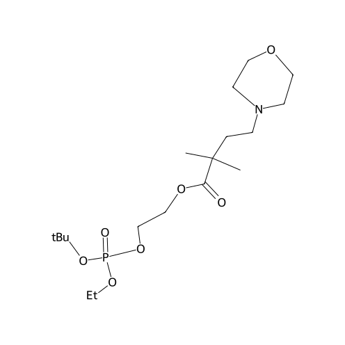 CCOP(=O)(OCCOC(=O)C(C)(C)CCN1CCOCC1)OC(C)(C)C